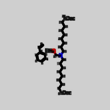 C=Cc1ccccc1.CCCCCCCCCCCCCCCCCCN(CCCCCCCCCCCCCCCCCC)COCC